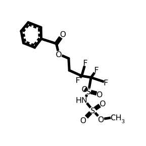 COS(=O)(=O)NS(=O)(=O)C(F)(F)C(F)(F)CCOC(=O)c1ccccc1